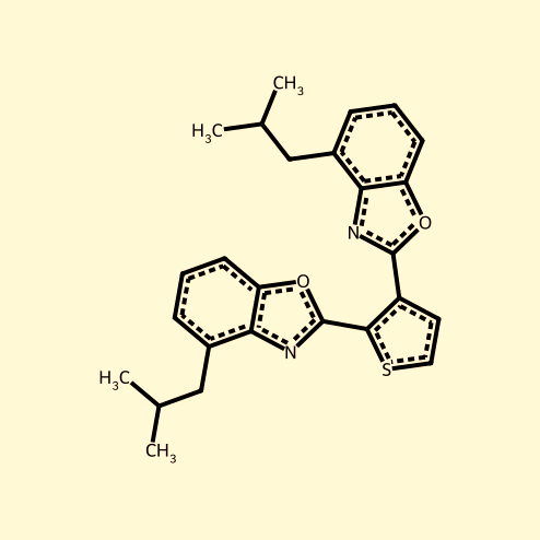 CC(C)Cc1cccc2oc(-c3ccsc3-c3nc4c(CC(C)C)cccc4o3)nc12